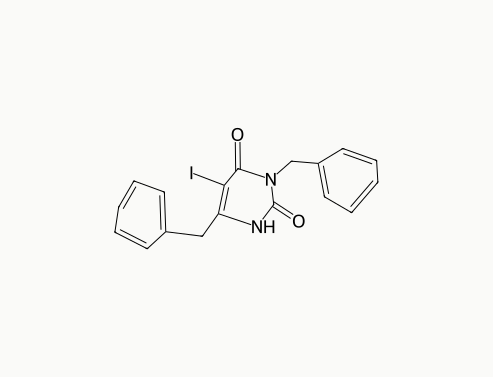 O=c1[nH]c(Cc2ccccc2)c(I)c(=O)n1Cc1ccccc1